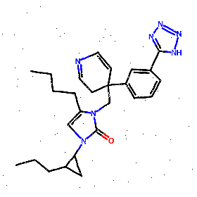 CCCCc1cn(C2CC2CCC)c(=O)n1CC1(c2cccc(-c3nnn[nH]3)c2)C=CN=CC1